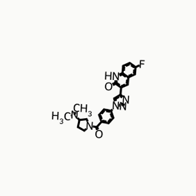 CN(C)C1CCN(C(=O)c2ccc(-n3cc(-c4cc5cc(F)ccc5[nH]c4=O)nn3)cc2)C1